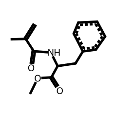 C=C(C)C(=O)NC(Cc1ccccc1)C(=O)OC